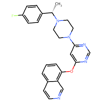 C[C@@H](c1ccc(F)cc1)N1CCN(c2cc(Oc3cccc4ccncc34)ncn2)CC1